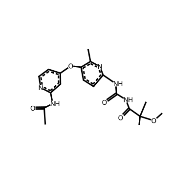 COC(C)(C)C(=O)NC(=O)Nc1ccc(Oc2ccnc(NC(C)=O)c2)c(C)n1